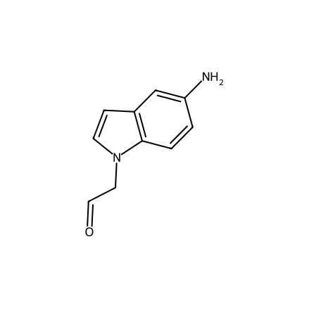 Nc1ccc2c(ccn2CC=O)c1